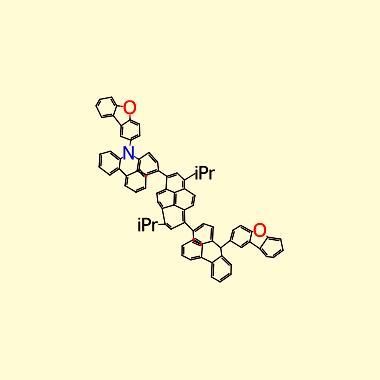 CC(C)c1cc(-c2ccc(C(c3ccc4oc5ccccc5c4c3)c3ccccc3-c3ccccc3)cc2)c2ccc3c(C(C)C)cc(-c4ccc(N(c5ccc6oc7ccccc7c6c5)c5ccccc5-c5ccccc5)cc4)c4ccc1c2c43